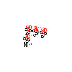 [Ni+2].[O-]P([O-])Oc1cccc(Cc2ccccc2)c1Cc1ccccc1.[O-]P([O-])Oc1cccc(Cc2ccccc2)c1Cc1ccccc1.[O-]P([O-])Oc1cccc(Cc2ccccc2)c1Cc1ccccc1.[O-]P([O-])Oc1cccc(Cc2ccccc2)c1Cc1ccccc1